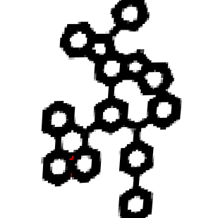 c1ccc(-c2ccc(N(c3ccccc3)c3cc(-c4cc5c6ccccc6n(-c6ccccc6)c5c5sc6ccccc6c45)cc(N(c4ccccc4)c4ccccc4-c4ccccc4)c3)cc2)cc1